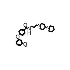 COc1cccc(Oc2ccc(C(=O)NCCCN3CCC(N4CCCCC4)CC3)cc2)c1